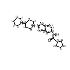 O=C(Nc1cnc2nc(N3CCC(N4CCCCC4)CC3)sc2c1)C1CCCC1